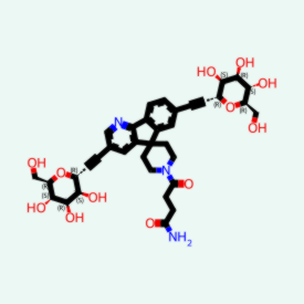 NC(=O)CCC(=O)N1CCC2(CC1)c1cc(C#C[C@H]3O[C@H](CO)[C@@H](O)[C@H](O)[C@@H]3O)ccc1-c1ncc(C#C[C@H]3O[C@H](CO)[C@@H](O)[C@H](O)[C@@H]3O)cc12